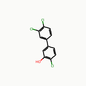 Oc1cc(-c2ccc(Cl)c(Cl)c2)ccc1Cl